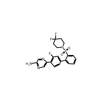 Nc1cnc(-c2ccc(-c3ccccc3S(=O)(=O)N3CCC(F)(F)CC3)cc2F)cn1